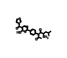 CC(=O)N(C(=O)C(N)CC(C)C)c1ccc(-c2ncc(C(=O)n3ccnc3)c(O)n2)cc1